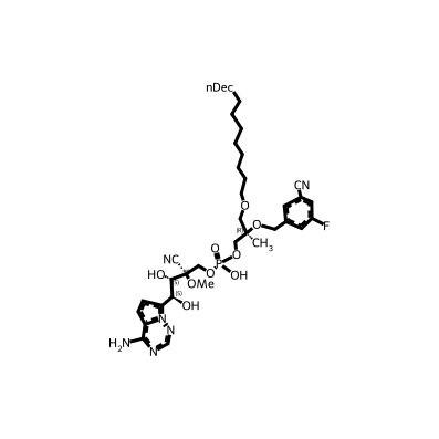 CCCCCCCCCCCCCCCCCCOC[C@](C)(COP(=O)(O)OC[C@@](C#N)(OC)[C@@H](O)[C@@H](O)c1ccc2c(N)ncnn12)OCc1cc(F)cc(C#N)c1